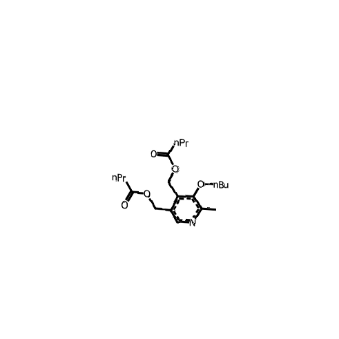 CCCCOc1c(C)ncc(COC(=O)CCC)c1COC(=O)CCC